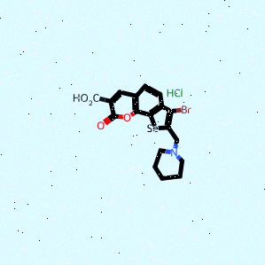 Cl.O=C(O)c1cc2ccc3c(Br)c(CN4CCCCC4)[se]c3c2oc1=O